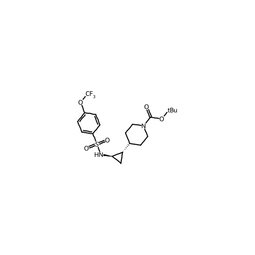 CC(C)(C)OC(=O)N1CCC([C@@H]2C[C@H]2NS(=O)(=O)c2ccc(OC(F)(F)F)cc2)CC1